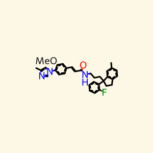 COc1cc(C=CC(=O)NCCCC2(c3ccccc3F)CCc3ccc(C)cc32)ccc1-n1cnc(C)c1